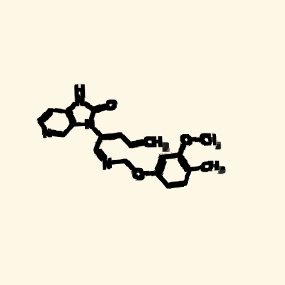 C=C/C=C(\C=N/COc1ccc(C)c(OC)c1)n1c(=O)[nH]c2ccncc21